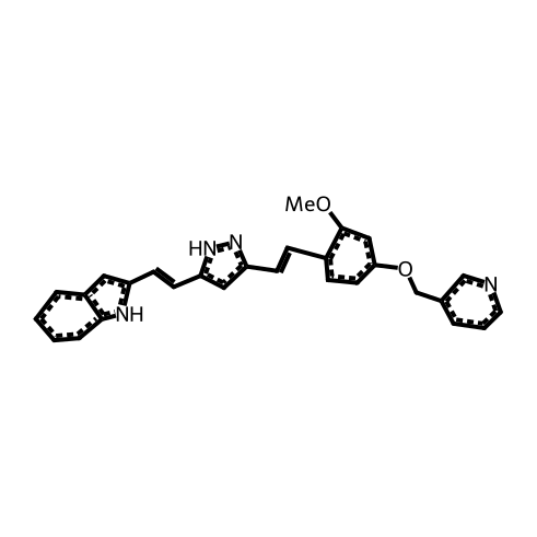 COc1cc(OCc2cccnc2)ccc1/C=C/c1cc(/C=C/c2cc3ccccc3[nH]2)[nH]n1